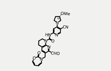 CO[C@H]1CCN(c2cc(NC(=O)N3CCCc4cc(CN5C=CC=COC5=O)c(C=O)nc43)ncc2C#N)C1